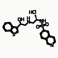 C[C@H](CNCC(O)c1csc2ccccc12)NS(=O)(=O)c1ccc2cnccc2c1.Cl